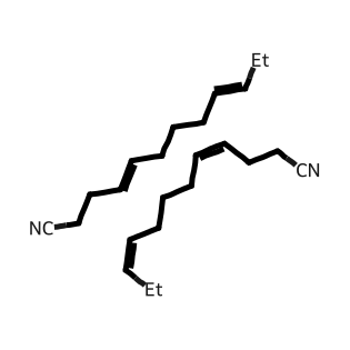 CC/C=C/CCC/C=C/CCC#N.CC/C=C\CCC/C=C\CCC#N